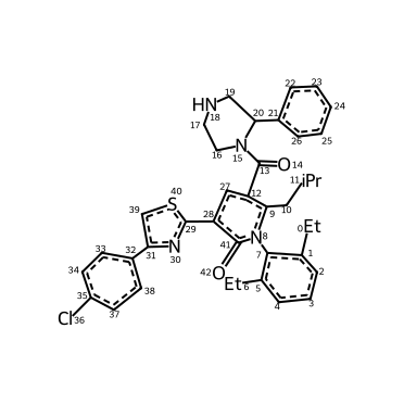 CCc1cccc(CC)c1-n1c(CC(C)C)c(C(=O)N2CCNCC2c2ccccc2)cc(-c2nc(-c3ccc(Cl)cc3)cs2)c1=O